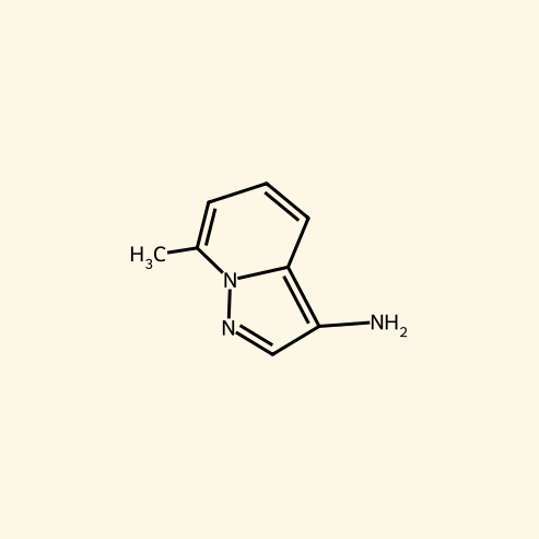 Cc1cccc2c(N)cnn12